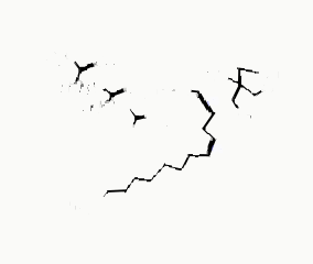 C=C(C)C(=O)O.C=C(C)C(=O)O.C=C(C)C(=O)O.CC(CO)(CO)CO.CCCCC/C=C\C/C=C\CCCCCCCC(=O)O